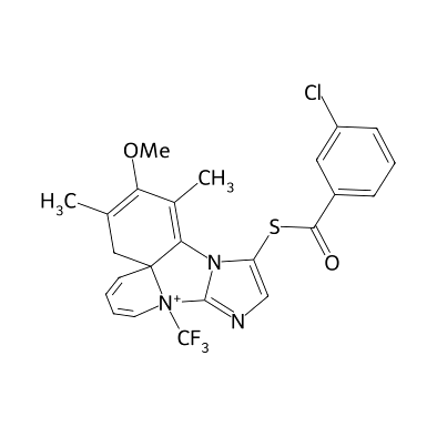 COC1=C(C)CC23C=CC=C[N+]2(C(F)(F)F)c2ncc(SC(=O)c4cccc(Cl)c4)n2C3=C1C